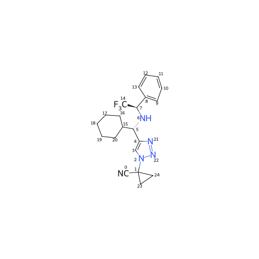 N#CC1(n2cc([C@@H](N[C@H](c3ccccc3)C(F)(F)F)C3CCCCC3)nn2)CC1